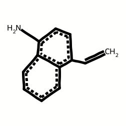 C=Cc1ccc(N)c2ccccc12